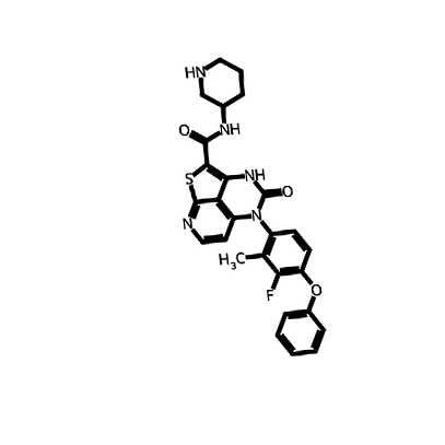 Cc1c(N2C(=O)Nc3c(C(=O)NC4CCCNC4)sc4nccc2c34)ccc(Oc2ccccc2)c1F